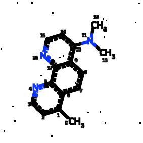 Cc1ccnc2c1ccc1c(N(C)C)ccnc12